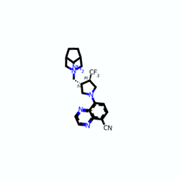 N#Cc1ccc(N2C[C@H](CN3CC4CCC(C3)C4N)[C@@H](C(F)(F)F)C2)c2nccnc12